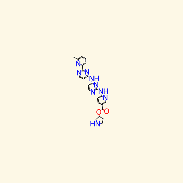 Cc1cccc(-c2nccc(Nc3ccnc(Nc4ccc(C(=O)O[C@@H]5CCNC5)cn4)n3)n2)n1